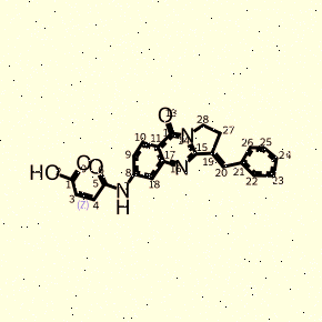 O=C(O)/C=C\C(=O)Nc1ccc2c(=O)n3c(nc2c1)C(=Cc1ccccc1)CC3